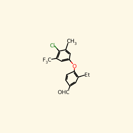 CCc1cc(C=O)ccc1Oc1cc(C)c(Cl)c(C(F)(F)F)c1